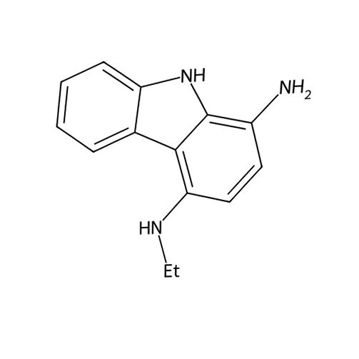 CCNc1ccc(N)c2[nH]c3ccccc3c12